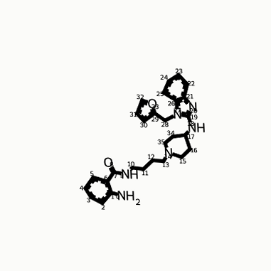 Nc1ccccc1C(=O)NCCCCN1CCC(Nc2nc3ccccc3n2Cc2ccco2)CC1